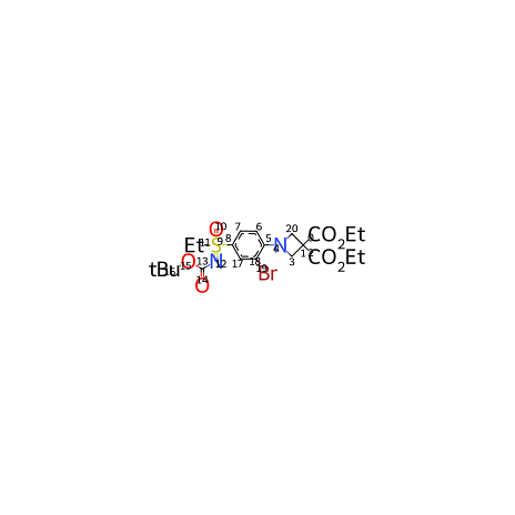 CCOC(=O)C1(C(=O)OCC)CN(c2ccc(S(=O)(CC)=NC(=O)OC(C)(C)C)cc2Br)C1